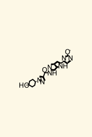 COc1nccc(-c2cc3cnc(NC(=O)c4cnn([C@H]5CC[C@H](O)CC5)c4)cc3[nH]2)n1